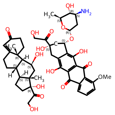 COc1cccc2c1C(=O)c1c(O)c3c(c(O)c1C2=O)C[C@@](O)(C(=O)CO)C[C@@H]3O[C@H]1C[C@H](N)[C@@H](O)[C@H](C)O1.C[C@]12CCC(=O)C=C1CC[C@@H]1[C@@H]2[C@@H](O)C[C@@]2(C)[C@H]1CC[C@]2(O)C(=O)CO